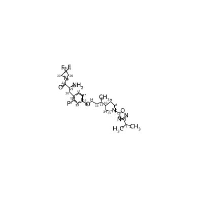 CC(C)c1noc(N2CCC([C@H](C)CCOc3ccc(C[C@H](N)C(=O)N4CC(F)(F)C4)c(F)c3)CC2)n1